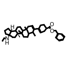 CCNC12CCC[C@@H]1C1CCC3C4(C)CC=C(C5=CCC(C(=O)OCc6ccccc6)CC5)C(C)C4CCC3(C)[C@]1(C)CC2